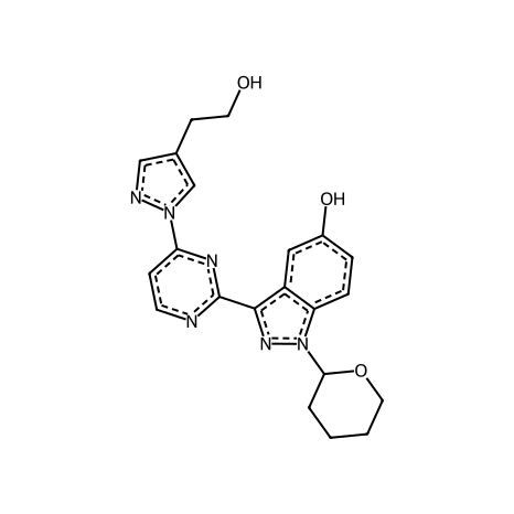 OCCc1cnn(-c2ccnc(-c3nn(C4CCCCO4)c4ccc(O)cc34)n2)c1